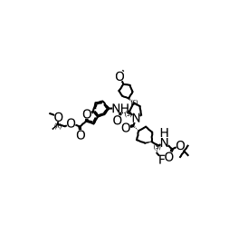 COC1CCC([C@@H]2CCN(C(=O)[C@H]3CC[C@H]([C@@H](CF)NC(=O)OC(C)(C)C)CC3)[C@@H]2C(=O)Nc2ccc3oc(C(=O)OC[C@@H](C)OC)cc3c2)CC1